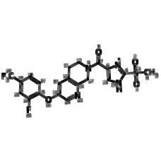 CS(=O)(=O)c1nc(C(=O)N2CCc3cc(Oc4ccc(C(F)(F)F)cc4F)cnc3C2)c[nH]1